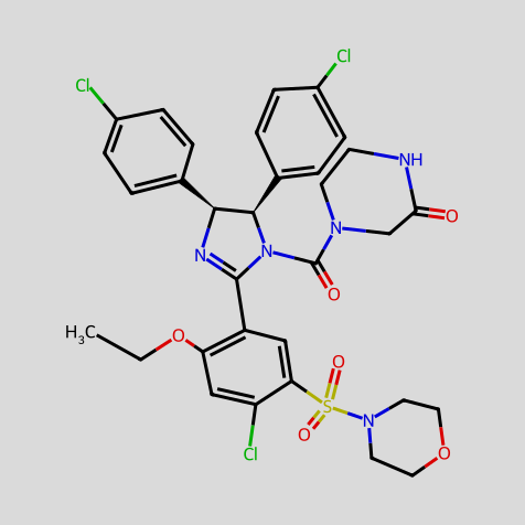 CCOc1cc(Cl)c(S(=O)(=O)N2CCOCC2)cc1C1=N[C@@H](c2ccc(Cl)cc2)[C@@H](c2ccc(Cl)cc2)N1C(=O)N1CCNC(=O)C1